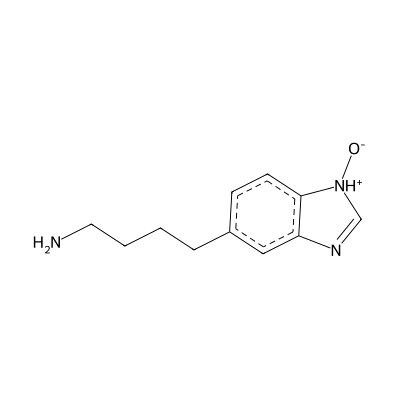 NCCCCc1ccc2c(c1)N=C[NH+]2[O-]